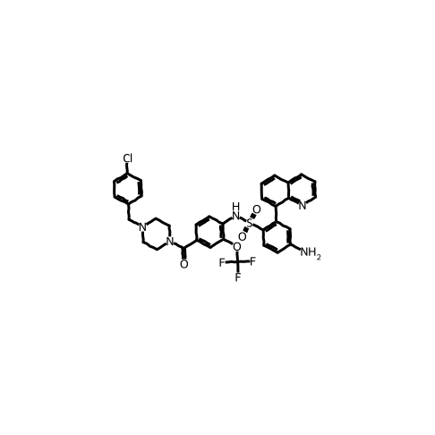 Nc1ccc(S(=O)(=O)Nc2ccc(C(=O)N3CCN(Cc4ccc(Cl)cc4)CC3)cc2OC(F)(F)F)c(-c2cccc3cccnc23)c1